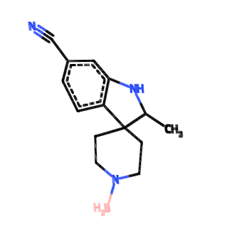 BN1CCC2(CC1)c1ccc(C#N)cc1NC2C